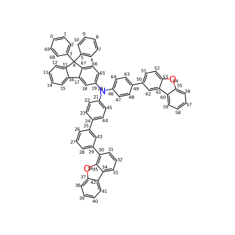 c1ccc(C2(c3ccccc3)c3ccccc3-c3cc(N(c4ccc(-c5cccc(-c6cccc7c6oc6ccccc67)c5)cc4)c4ccc(-c5ccc6oc7ccccc7c6c5)cc4)ccc32)cc1